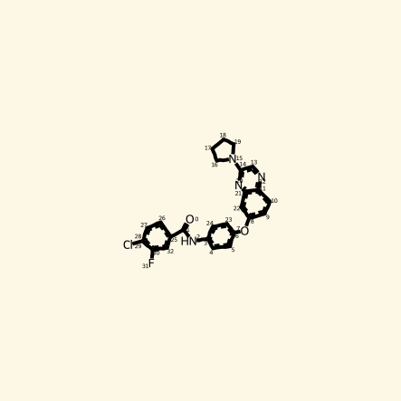 O=C(Nc1ccc(Oc2ccc3ncc(N4CCCC4)nc3c2)cc1)c1ccc(Cl)c(F)c1